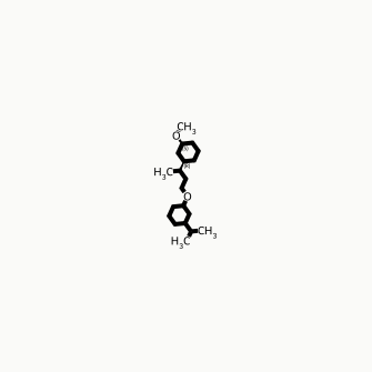 CO[C@H]1CCC[C@@H](C(C)CCOC2CCCC(C(C)C)C2)C1